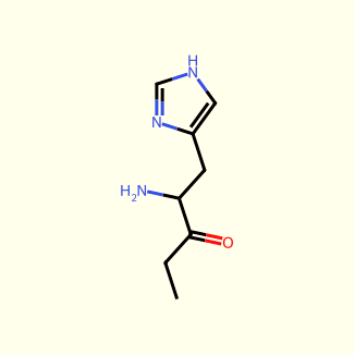 CCC(=O)C(N)Cc1c[nH]cn1